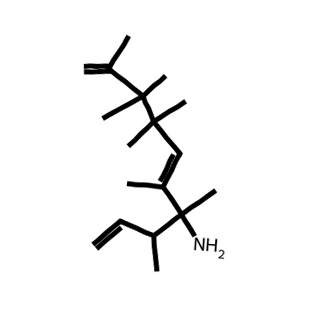 C=CC(C)C(C)(N)/C(C)=C/C(C)(C)C(C)(C)C(=C)C